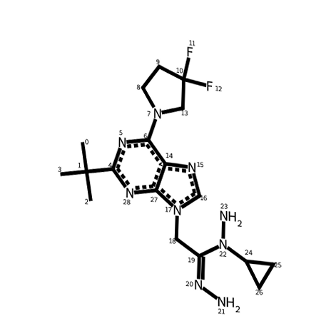 CC(C)(C)c1nc(N2CCC(F)(F)C2)c2ncn(C/C(=N/N)N(N)C3CC3)c2n1